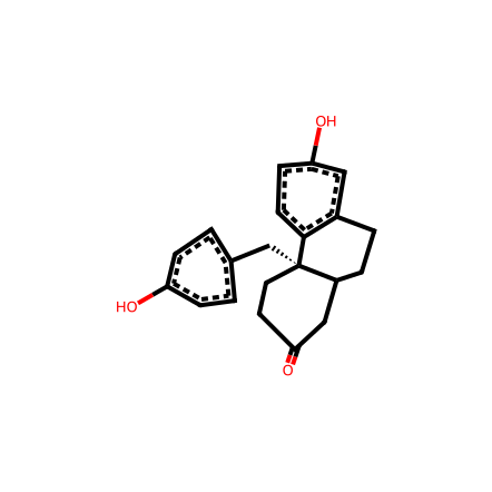 O=C1CC[C@@]2(Cc3ccc(O)cc3)c3ccc(O)cc3CCC2C1